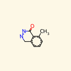 Cc1cccc2c1C(=O)N=NC2